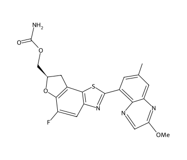 COc1cnc2c(-c3nc4cc(F)c5c(c4s3)C[C@H](COC(N)=O)O5)cc(C)cc2n1